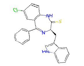 S=C1Nc2ccc(Cl)cc2C(c2ccccc2)=N[C@@H]1Cc1c[nH]c2ccccc12